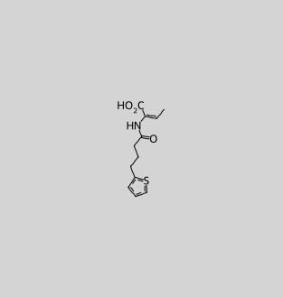 CC=C(NC(=O)CCCc1cccs1)C(=O)O